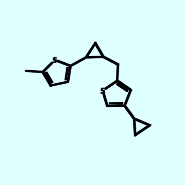 Cc1ccc(C2CC2Cc2cc(C3CC3)cs2)s1